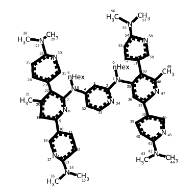 CCCCCCN(c1cc(N(CCCCCC)c2nc(-c3ccc(N(C)C)nc3)cc(C)c2-c2ccc(N(C)C)nc2)ccn1)c1cc(-c2ccc(N(C)C)nc2)nc(C)c1-c1ccc(N(C)C)nc1